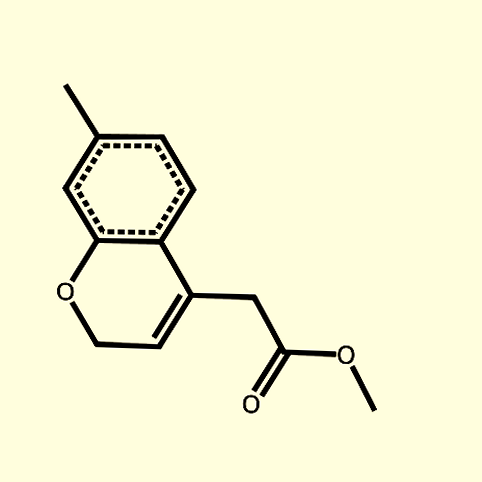 COC(=O)CC1=CCOc2cc(C)ccc21